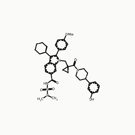 COc1ccc(-c2c(C3CCCCC3)c3ccc(C(=O)NS(=O)(=O)N(C)C)cc3n2CC2(C(=O)N3CCC(c4cccc(O)c4)CC3)CC2)cc1